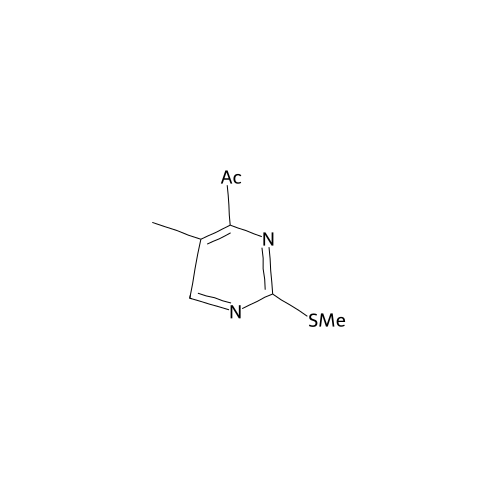 CSc1ncc(C)c(C(C)=O)n1